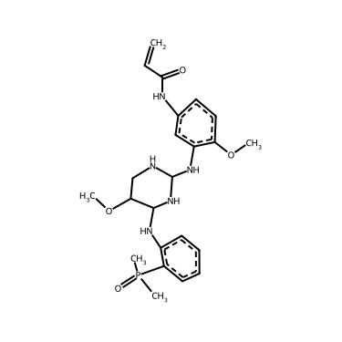 C=CC(=O)Nc1ccc(OC)c(NC2NCC(OC)C(Nc3ccccc3P(C)(C)=O)N2)c1